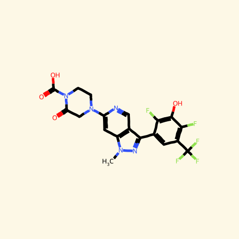 Cn1nc(-c2cc(C(F)(F)F)c(F)c(O)c2F)c2cnc(N3CCN(C(=O)O)C(=O)C3)cc21